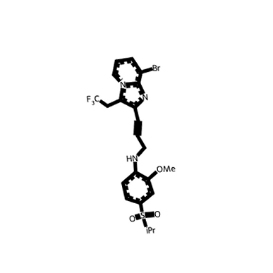 COc1cc(S(=O)(=O)C(C)C)ccc1NCC#Cc1nc2c(Br)cccn2c1CC(F)(F)F